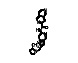 C[C@H]1CCCN1Cc1cc2cnc(NC(=O)c3cc4cnccc4cn3)cc2[nH]1